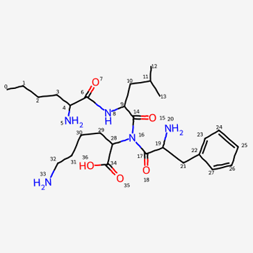 CCCCC(N)C(=O)NC(CC(C)C)C(=O)N(C(=O)C(N)Cc1ccccc1)C(CCCCN)C(=O)O